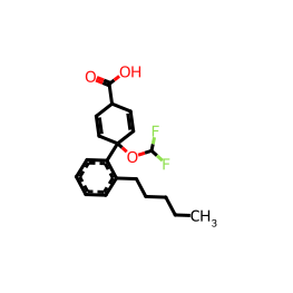 CCCCCc1ccccc1C1(OC(F)F)C=CC(C(=O)O)C=C1